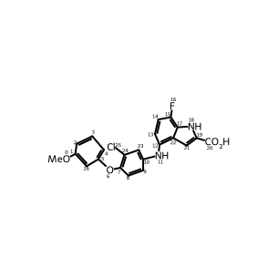 COc1cccc(Oc2ccc(Nc3ccc(F)c4[nH]c(C(=O)O)cc34)cc2Cl)c1